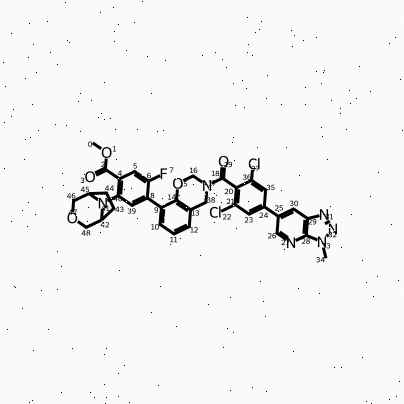 COC(=O)c1cc(F)c(-c2cccc3c2OCN(C(=O)c2c(Cl)cc(-c4cnc5c(c4)nnn5C)cc2Cl)C3)cc1N1C2CCC1COC2